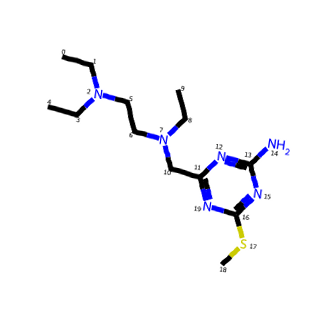 CCN(CC)CCN(CC)Cc1nc(N)nc(SC)n1